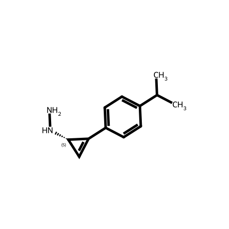 CC(C)c1ccc(C2=C[C@@H]2NN)cc1